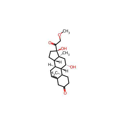 COCC(=O)[C@@]1(O)CC[C@H]2[C@@H]3CC=C4CC(=O)CC[C@]4(C)[C@H]3[C@@H](O)C[C@@]21C